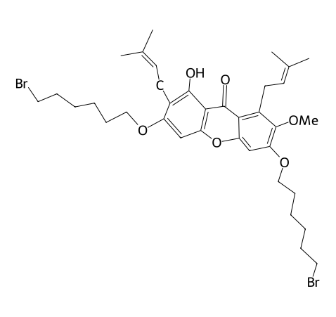 COc1c(OCCCCCCBr)cc2oc3cc(OCCCCCCBr)c(CC=C(C)C)c(O)c3c(=O)c2c1CC=C(C)C